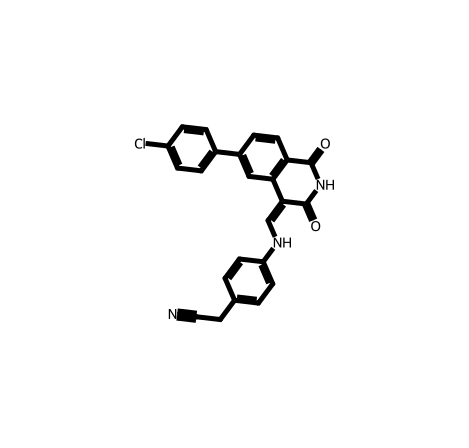 N#CCc1ccc(N/C=C2\C(=O)NC(=O)c3ccc(-c4ccc(Cl)cc4)cc32)cc1